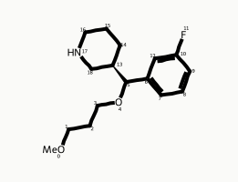 COCCCOC(c1cccc(F)c1)[C@@H]1CCCNC1